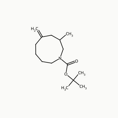 C=C1CCCCN(C(=O)OC(C)(C)C)CC(C)C1